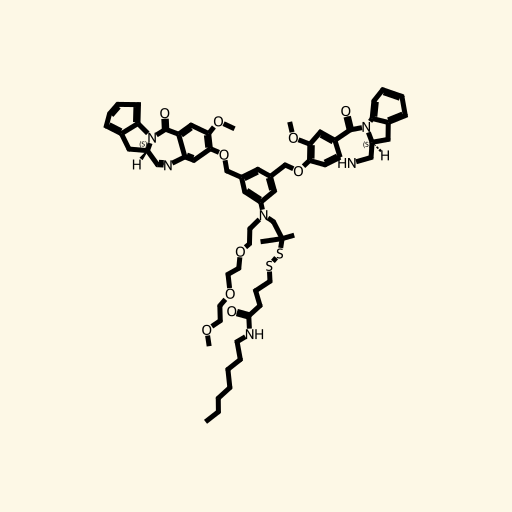 CCCCCCCNC(=O)CCCSSC(C)(C)CN(CCOCCOCCOC)c1cc(COc2cc3c(cc2OC)C(=O)N2c4ccccc4C[C@H]2C=N3)cc(COc2cc3c(cc2OC)C(=O)N2c4ccccc4C[C@H]2CN3)c1